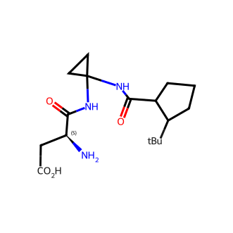 CC(C)(C)C1CCCC1C(=O)NC1(NC(=O)[C@@H](N)CC(=O)O)CC1